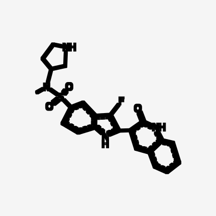 CN(C1CCNC1)S(=O)(=O)c1ccc2[nH]c(-c3cc4ccccc4[nH]c3=O)c(F)c2c1